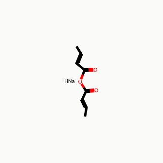 CC=CC(=O)OC(=O)/C=C/C.[NaH]